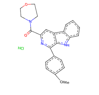 COc1ccc(-c2nc(C(=O)N3CCOCC3)cc3c2[nH]c2ccccc23)cc1.Cl